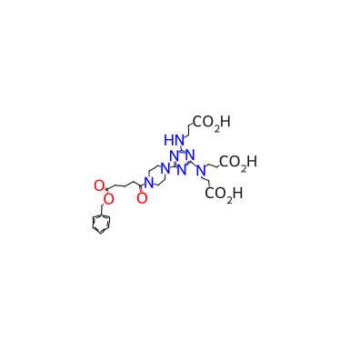 O=C(O)CCNc1nc(N(CCC(=O)O)CCC(=O)O)nc(N2CCN(C(=O)CCCC(=O)OCc3ccccc3)CC2)n1